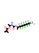 C=C(C)C(=O)OC(C)NC(=O)SC(C)C(F)(F)C(F)(F)C(F)(F)C(F)(F)C(F)(F)C(F)(F)F